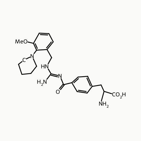 COc1cccc(CNC(N)=NC(=O)c2ccc(CC(N)C(=O)O)cc2)c1N1CCCCC1